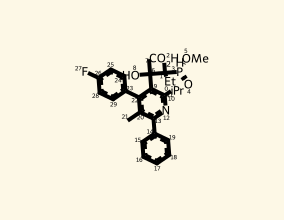 CCC(C(=O)O)([PH](=O)OC)C(C)(O)c1c(C(C)C)nc(-c2ccccc2)c(C)c1-c1ccc(F)cc1